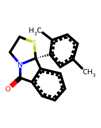 Cc1ccc(C)c([C@@]23SCCN2C(=O)c2ccccc23)c1